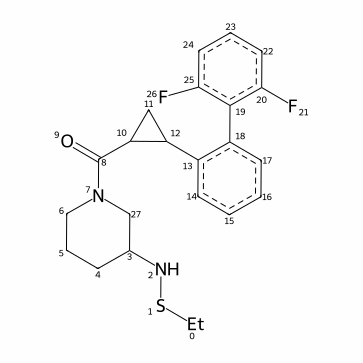 CCSNC1CCCN(C(=O)C2CC2c2ccccc2-c2c(F)cccc2F)C1